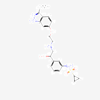 COc1n[nH]c2cc(OCCNCC(O)c3cccc(NS(=O)(=O)C4CC4)c3)ccc12